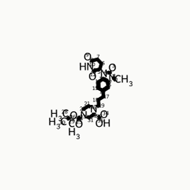 Cn1c(=O)n(C2CCC(=O)NC2=O)c2ccc(CCCN3CCN(C(=O)OC(C)(C)C)C[C@H]3C(=O)O)cc21